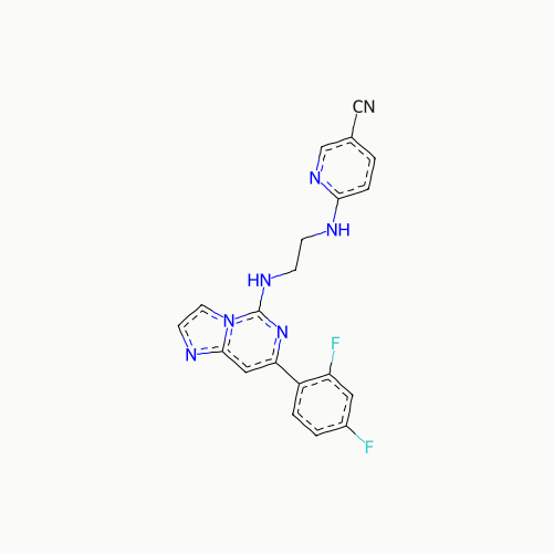 N#Cc1ccc(NCCNc2nc(-c3ccc(F)cc3F)cc3nccn23)nc1